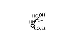 CCOC(=O)c1cccc(NCC[C@H](O)[C@H](O)CO)c1